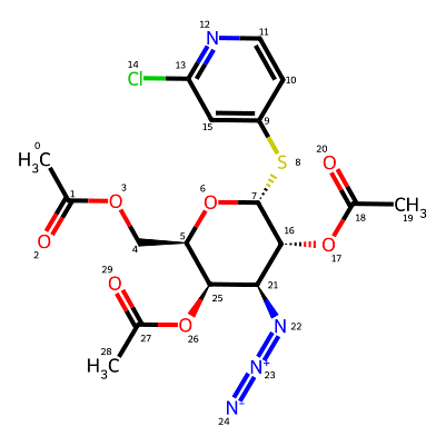 CC(=O)OC[C@H]1O[C@H](Sc2ccnc(Cl)c2)[C@H](OC(C)=O)[C@@H](N=[N+]=[N-])[C@H]1OC(C)=O